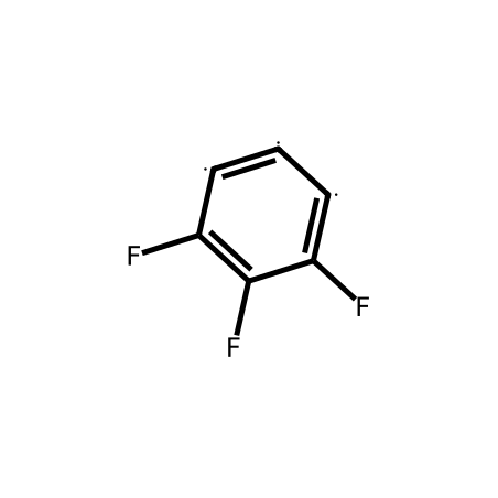 Fc1[c][c][c]c(F)c1F